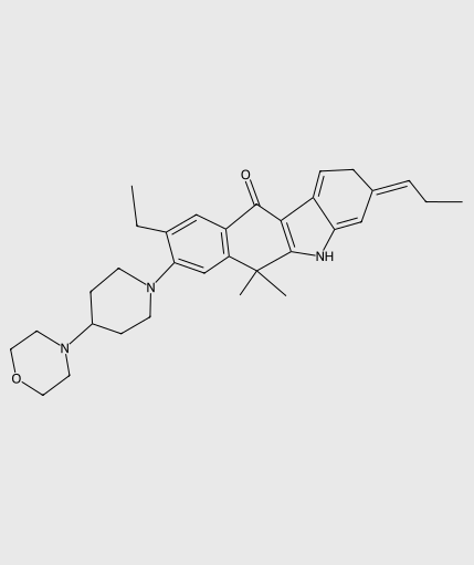 CCC=C1C=c2[nH]c3c(c2=CC1)C(=O)c1cc(CC)c(N2CCC(N4CCOCC4)CC2)cc1C3(C)C